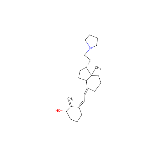 C=C1/C(=C\C=C2/CCCC3(C)C2CC[C@@H]3CCN2CCCC2)CCCC1O